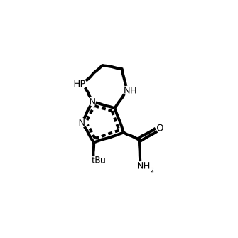 CC(C)(C)c1nn2c(c1C(N)=O)NCCP2